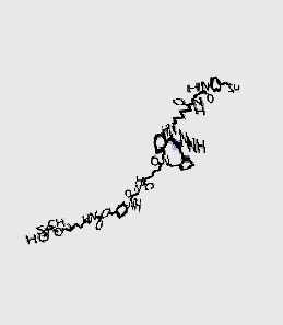 CP(O)(=S)OCCCCCCNC(=O)OCc1ccc(NC(=O)CNC(=O)CCCCC(=O)N2Cc3ccccc3/C(N=N)=C(/NCCCCCC(=O)NCC(=O)Nc3ccc(CS)cc3)c3ccccc32)cc1